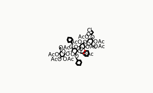 CC(=O)OC[C@H]1O[C@@H](OC[C@H]2O[C@H](OCc3ccccc3)[C@H](OCc3ccccc3)[C@@H](O[C@@H]3O[C@H](COC(C)=O)[C@@H](OC(C)=O)[C@H](O[C@@H]4O[C@H](COC(C)=O)[C@@H](OC(C)=O)[C@H](OC(=O)CCl)[C@H]4OC(C)=O)[C@H]3OC(C)=O)[C@@H]2OCc2ccccc2)[C@H](OC(C)=O)[C@@H](OC(C)=O)[C@@H]1OC(C)=O